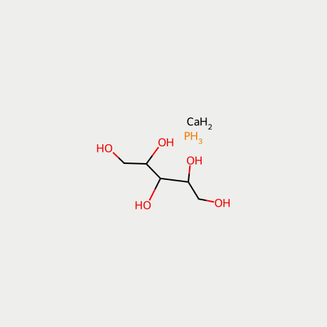 OCC(O)C(O)C(O)CO.P.[CaH2]